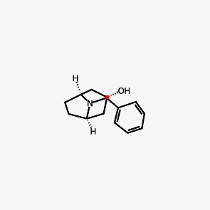 O[C@@H]1C[C@H]2CC[C@@H](C1)N2Cc1ccccc1